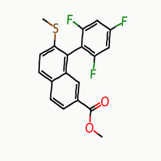 COC(=O)c1ccc2ccc(SC)c(-c3c(F)cc(F)cc3F)c2c1